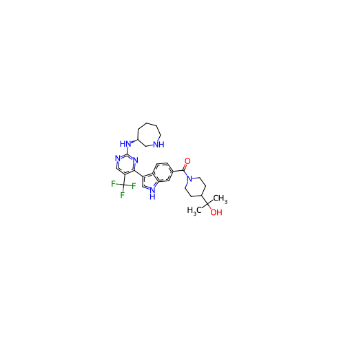 CC(C)(O)C1CCN(C(=O)c2ccc3c(-c4nc(N[C@H]5CCCCNC5)ncc4C(F)(F)F)c[nH]c3c2)CC1